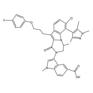 Cc1nn(C)c(C)c1-c1c(Cl)ccc2c(CCCOc3ccc(F)cc3)c3n(c12)C(C)CN(c1cn(C)c2ccc(C(=O)O)cc12)C3=O